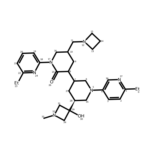 CCc1ccc(N2CC(C3CC(CN4CCC4)CN(c4cccc(CC)n4)C3=O)C[C@H](C3(O)CN(C)C3)C2)cn1